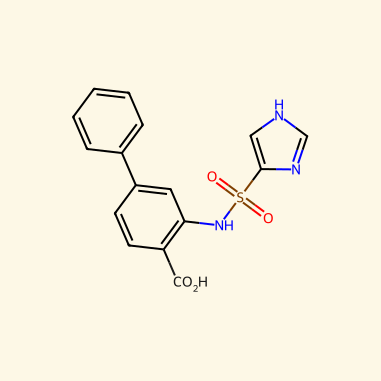 O=C(O)c1ccc(-c2ccccc2)cc1NS(=O)(=O)c1c[nH]cn1